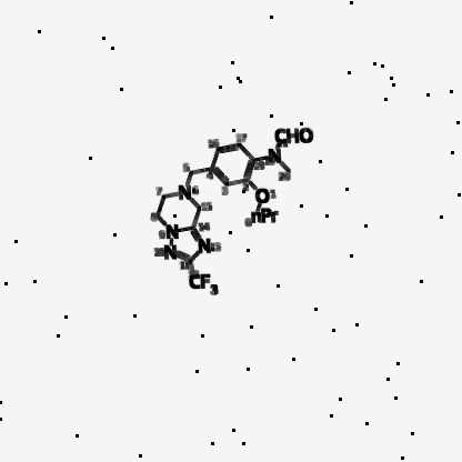 CCCOc1cc(CN2CCn3nc(C(F)(F)F)nc3C2)ccc1N(C)C=O